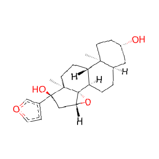 C[C@]12CC[C@H](O)C[C@H]1CC[C@@H]1[C@@H]2CC[C@@]2(C)[C@@]13O[C@@H]3C[C@]2(O)c1ccoc1